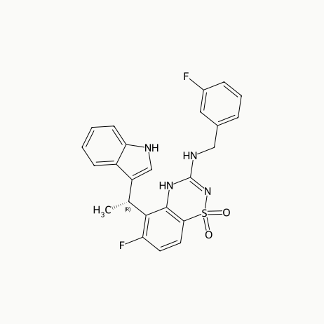 C[C@@H](c1c(F)ccc2c1NC(NCc1cccc(F)c1)=NS2(=O)=O)c1c[nH]c2ccccc12